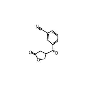 N#Cc1cccc(C(=O)C2COC(=O)C2)c1